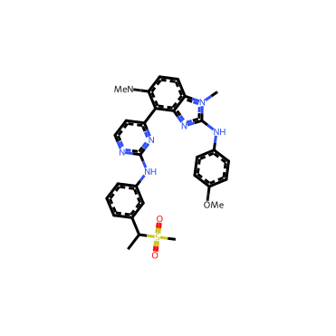 CNc1ccc2c(nc(Nc3ccc(OC)cc3)n2C)c1-c1ccnc(Nc2cccc(C(C)S(C)(=O)=O)c2)n1